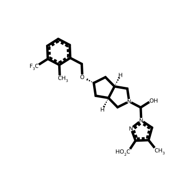 Cc1cn(C(O)N2C[C@H]3C[C@H](OCc4cccc(C(F)(F)F)c4C)C[C@H]3C2)nc1C(=O)O